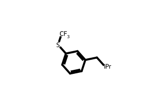 CC(C)Cc1cccc(SC(F)(F)F)c1